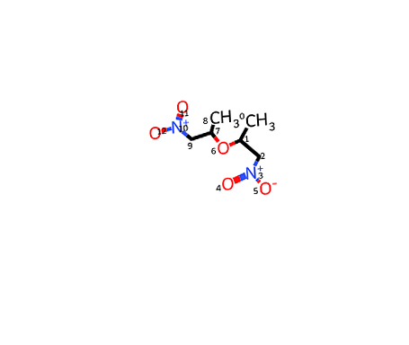 CC(C[N+](=O)[O-])OC(C)C[N+](=O)[O-]